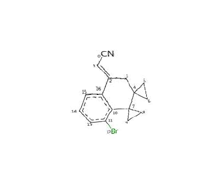 N#CC=C1CC2(CC2)C2(CC2)c2c(Br)cccc21